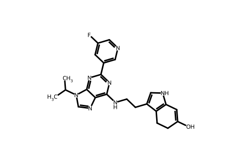 CC(C)n1cnc2c(NCCc3c[nH]c4c3CCC(O)=C4)nc(-c3cncc(F)c3)nc21